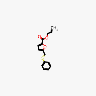 C=CCOC(=O)c1ccc(CSc2ccccc2)o1